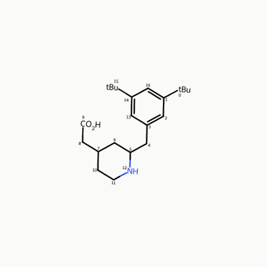 CC(C)(C)c1cc(CC2CC(CC(=O)O)CCN2)cc(C(C)(C)C)c1